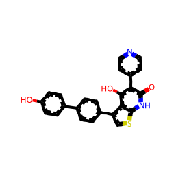 O=c1[nH]c2scc(-c3ccc(-c4ccc(O)cc4)cc3)c2c(O)c1-c1ccncc1